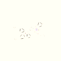 COc1ccc(C(OC[C@H]2OC[C@H](OCc3ccc(C(F)(F)F)cc3F)[C@@H]2OP(OCCC#N)N(C(C)C)C(C)C)(c2ccccc2)c2ccc(OC)cc2)cc1